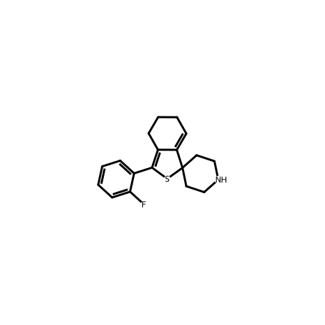 Fc1ccccc1C1=C2CCCC=C2C2(CCNCC2)S1